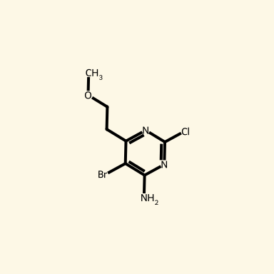 COCCc1nc(Cl)nc(N)c1Br